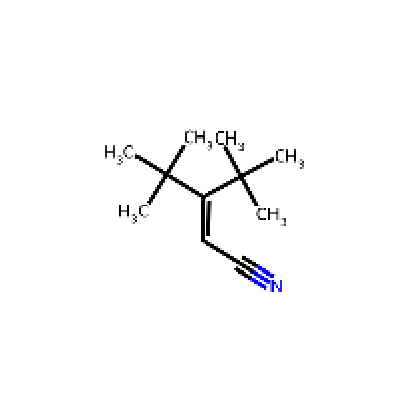 CC(C)(C)C(=CC#N)C(C)(C)C